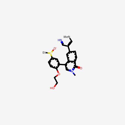 CC[S+]([O-])c1ccc(OCCO)c(-c2cn(C)c(=O)c3ccc(/C(C=N)=C/NC)cc23)c1